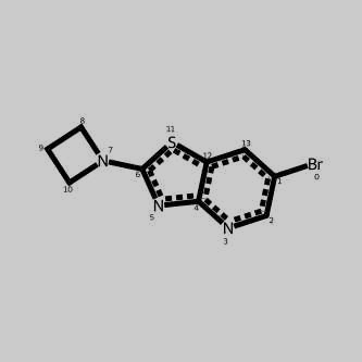 Brc1cnc2nc(N3CCC3)sc2c1